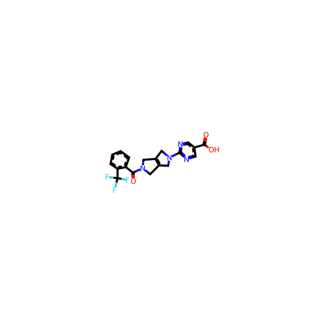 O=C(O)c1cnc(N2CC3=C(CN(C(=O)c4ccccc4C(F)(F)F)C3)C2)nc1